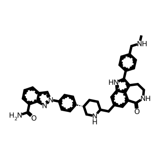 CNCc1ccc(-c2[nH]c3cc(CC4CC[C@@H](c5ccc(-n6cc7cccc(C(N)=O)c7n6)cc5)CN4)cc4c3c2CCNC4=O)cc1